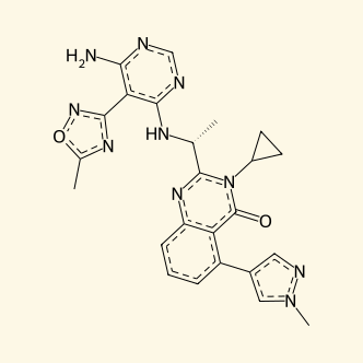 Cc1nc(-c2c(N)ncnc2N[C@H](C)c2nc3cccc(-c4cnn(C)c4)c3c(=O)n2C2CC2)no1